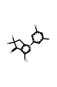 O=C1c2c(C(F)(F)F)cn(-c3cc(F)cc(Cl)c3)c2CC1(F)F